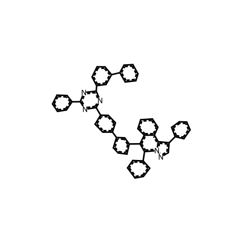 c1ccc(-c2cccc(-c3nc(-c4ccccc4)nc(-c4ccc(-c5cccc(-c6c(-c7ccccc7)n7ncc(-c8ccccc8)c7c7ccccc67)c5)cc4)n3)c2)cc1